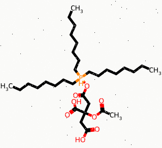 CCCCCCCC[PH](CCCCCCCC)(CCCCCCCC)OC(=O)CC(CC(=O)O)(OC(C)=O)C(=O)O